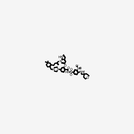 C=C(C)CCC1=C(CN2CCN(c3ccc(C(=O)NS(=O)(=O)c4ccc(NCC5(F)CCOCC5)c([N+](=O)[O-])c4)c(Oc4cnc5[nH]ccc5c4)c3)CC2)CCC(C)(C)C1